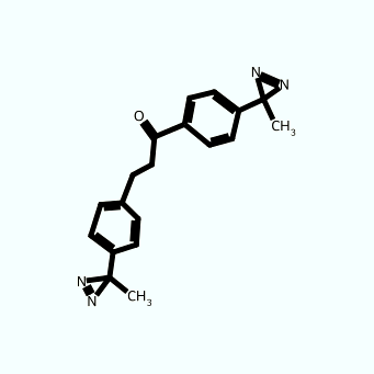 CC1(c2ccc(CCC(=O)c3ccc(C4(C)N=N4)cc3)cc2)N=N1